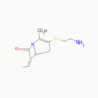 CC=C1C(=O)N2C(C(=O)O)=C(SCCN)CC12